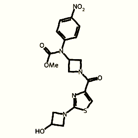 COC(=O)N(c1ccc([N+](=O)[O-])cc1)C1CN(C(=O)c2csc(N3CC(O)C3)n2)C1